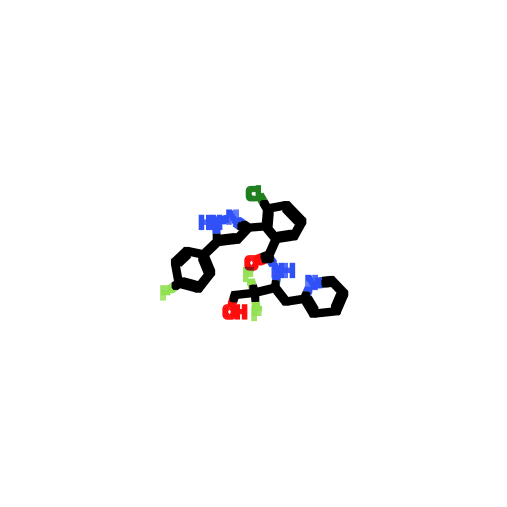 O=C(NC(Cc1ccccn1)C(F)(F)CO)c1cccc(Cl)c1-c1cc(-c2ccc(F)cc2)[nH]n1